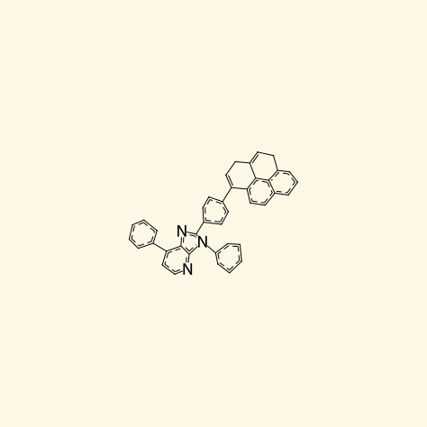 C1=C(c2ccc(-c3nc4c(-c5ccccc5)ccnc4n3-c3ccccc3)cc2)c2ccc3cccc4c3c2C(=CC4)C1